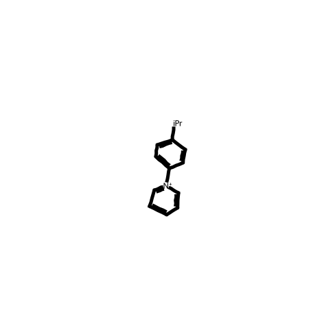 CC(C)c1ccc(-[n+]2ccccc2)cc1